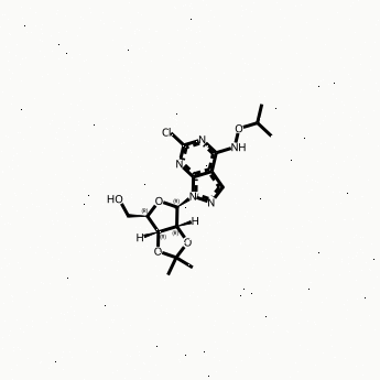 CC(C)ONc1nc(Cl)nc2c1cnn2[C@@H]1O[C@H](CO)[C@H]2OC(C)(C)O[C@H]21